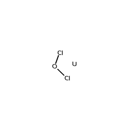 ClOCl.[U]